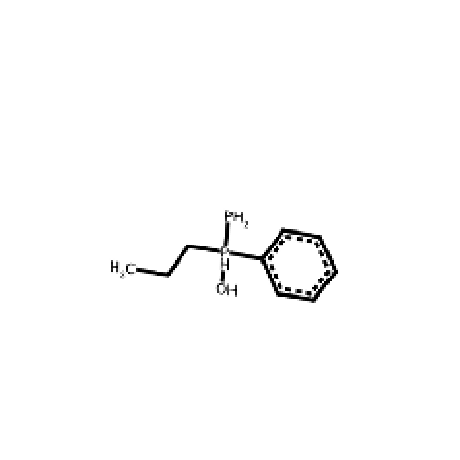 CCC[PH](O)(P)c1ccccc1